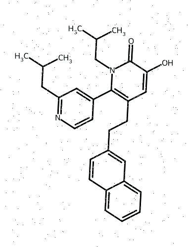 CC(C)Cc1cc(-c2c(CCc3ccc4ccccc4c3)cc(O)c(=O)n2CC(C)C)ccn1